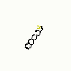 c1ccc2cc3cc4cc5sccc5cc4cc3cc2c1